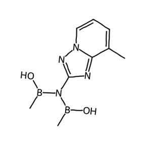 CB(O)N(B(C)O)c1nc2c(C)cccn2n1